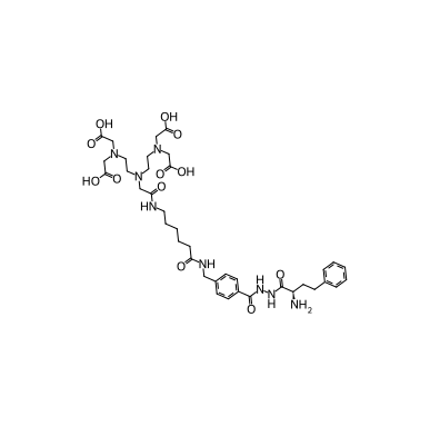 N[C@H](CCc1ccccc1)C(=O)NNC(=O)c1ccc(CNC(=O)CCCCCNC(=O)CN(CCN(CC(=O)O)CC(=O)O)CCN(CC(=O)O)CC(=O)O)cc1